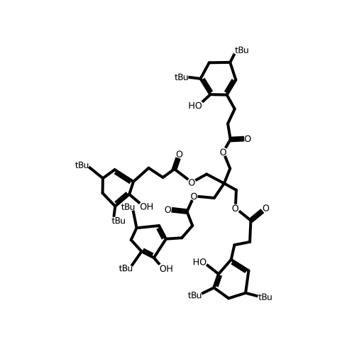 CC(C)(C)C1=C(O)C(CCC(=O)OCC(COC(=O)CCC2=CC(C(C)(C)C)CC(C(C)(C)C)=C2O)(COC(=O)CCC2=CC(C(C)(C)C)CC(C(C)(C)C)=C2O)COC(=O)CCC2=CC(C(C)(C)C)CC(C(C)(C)C)=C2O)=CC(C(C)(C)C)C1